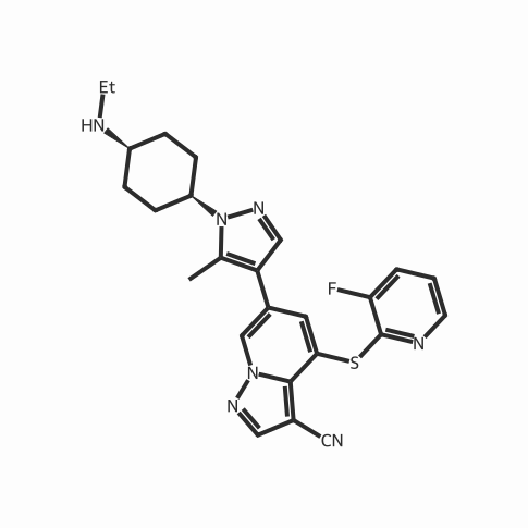 CCN[C@H]1CC[C@@H](n2ncc(-c3cc(Sc4ncccc4F)c4c(C#N)cnn4c3)c2C)CC1